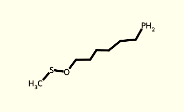 CSOCCCCCCP